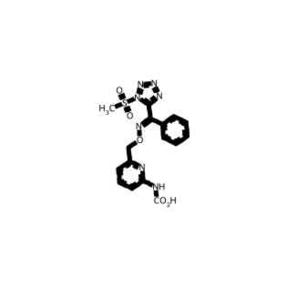 CS(=O)(=O)n1nnnc1C(=NOCc1cccc(NC(=O)O)n1)c1ccccc1